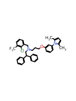 Cc1ccc(C)n1-c1cccc(OCCCN(Cc2cccc(C(F)(F)F)c2Cl)CC(c2ccccc2)c2ccccc2)c1